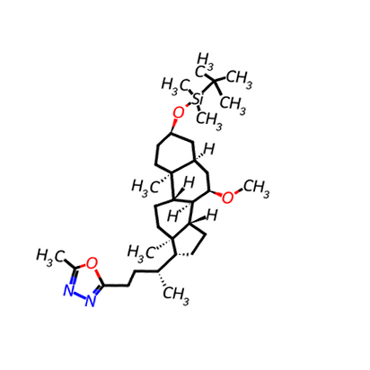 CO[C@@H]1C[C@@H]2C[C@H](O[Si](C)(C)C(C)(C)C)CC[C@]2(C)[C@H]2CC[C@]3(C)[C@@H]([C@H](C)CCc4nnc(C)o4)CC[C@H]3[C@H]12